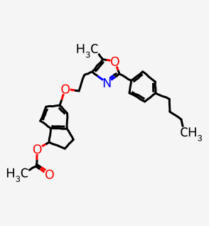 CCCCc1ccc(-c2nc(CCOc3ccc4c(c3)CCC4OC(C)=O)c(C)o2)cc1